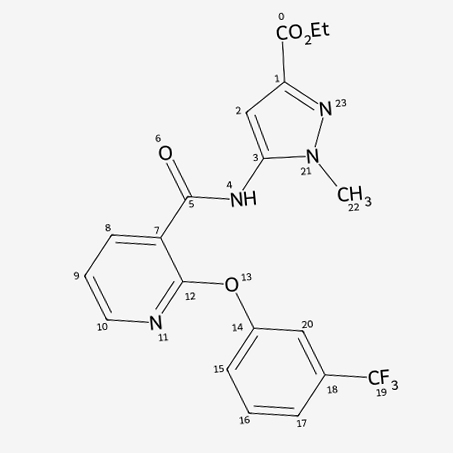 CCOC(=O)c1cc(NC(=O)c2cccnc2Oc2cccc(C(F)(F)F)c2)n(C)n1